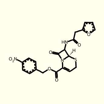 O=C(Cc1ccco1)NC1C(=O)N2C(C(=O)OCc3ccc([N+](=O)[O-])cc3)=CCS[C@H]12